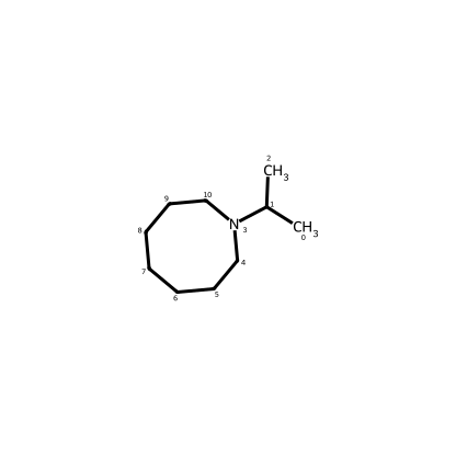 CC(C)N1CCCCCCC1